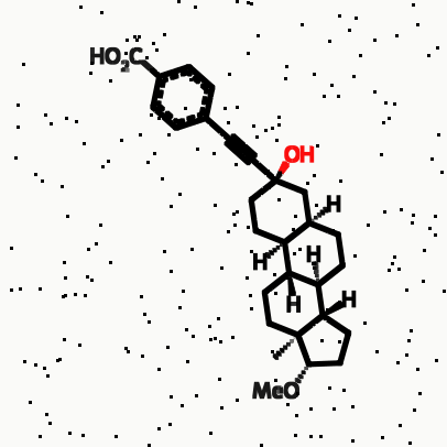 CO[C@H]1CC[C@H]2[C@@H]3CC[C@@H]4C[C@@](O)(C#Cc5ccc(C(=O)O)cc5)CC[C@@H]4[C@H]3CC[C@]12C